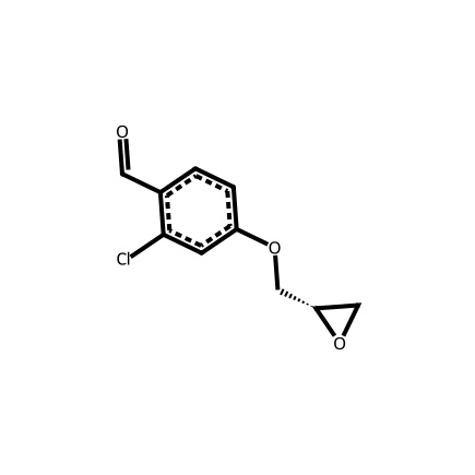 O=Cc1ccc(OC[C@@H]2CO2)cc1Cl